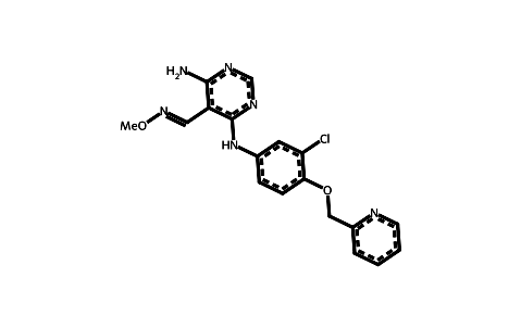 CON=Cc1c(N)ncnc1Nc1ccc(OCc2ccccn2)c(Cl)c1